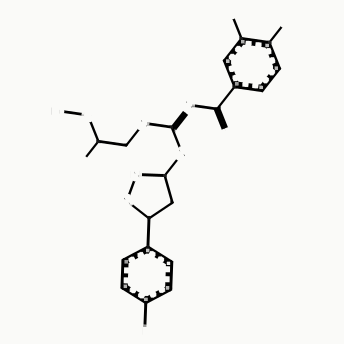 CCOC(C)CN/C(=N/C(=O)c1ccc(Cl)c(F)c1)NC1CC(c2ccc(F)cc2)NN1